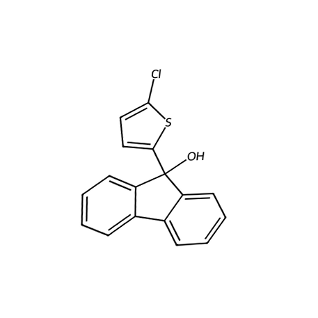 OC1(c2ccc(Cl)s2)c2ccccc2-c2ccccc21